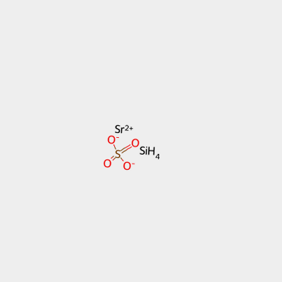 O=S(=O)([O-])[O-].[SiH4].[Sr+2]